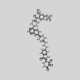 Nc1cc(OC(F)(F)F)ccc1C(=O)N1CCC(c2ncnc3cc(N4CCN(CCCc5ccc6c(c5)CN(C5CCC(=O)NC5=O)C6=O)CC4)ccc23)CC1